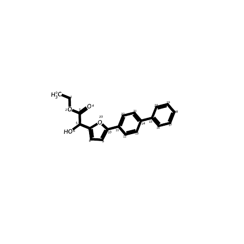 CCOC(=O)C(O)c1ccc(-c2ccc(-c3ccccc3)cc2)o1